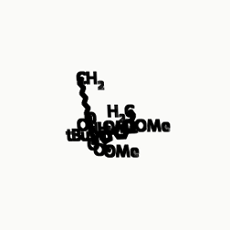 C=CCCCCCCOC(=O)N[C@H](C(=O)N1C[C@](OC)(c2ccc3cc(OC)c(C=C)cc3c2)C[C@H]1C(=O)OC)C(C)(C)C